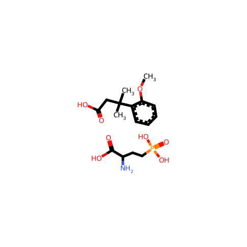 COc1ccccc1C(C)(C)CC(=O)O.NC(CCP(=O)(O)O)C(=O)O